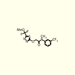 COC(F)(F)c1nnc(OCC(=O)N(C)c2cccc(C(F)(F)F)c2)s1